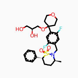 C[C@H]1CC[C@H](c2ccccc2)S(=O)(=O)N1Cc1cc(F)c(C2(OC[C@@H](O)CO)CCOCC2)cc1F